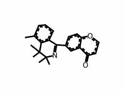 Cc1cccc2c1C(C)(C)C(C)(C)N=C2c1ccc2occc(=O)c2c1